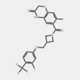 O=C1COc2cc(F)c(C(=O)N3CC(COc4ccc(C(F)(F)F)c(F)c4)C3)cc2N1